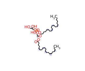 CC/C=C\C/C=C\C/C=C\C/C=C\C/C=C\CCCC(=O)OC[C@H](COP(=O)(O)OC[C@@H](O)CO)OC(=O)CCC/C=C\C/C=C\C/C=C\C/C=C\CCCCC